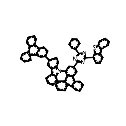 c1ccc(-c2nc(-c3cc(-n4c5ccccc5c5cc(-c6ccc7c8ccccc8c8ccccc8c7c6)ccc54)c4c5ccccc5c5ccccc5c4c3)nc(-c3cccc4c3sc3ccccc34)n2)cc1